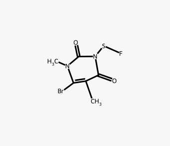 Cc1c(Br)n(C)c(=O)n(SF)c1=O